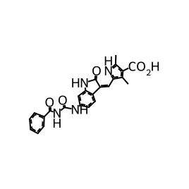 Cc1[nH]c(C=C2C(=O)Nc3cc(NC(=O)NC(=O)c4ccccc4)ccc32)c(C)c1C(=O)O